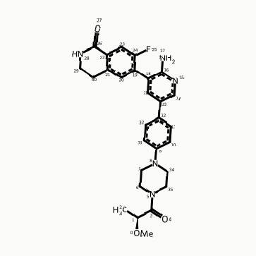 CO[C@@H](C)C(=O)N1CCN(c2ccc(-c3cnc(N)c(-c4cc5c(cc4F)C(=O)NCC5)c3)cc2)CC1